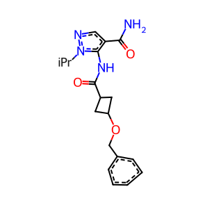 CC(C)n1ncc(C(N)=O)c1NC(=O)C1CC(OCc2ccccc2)C1